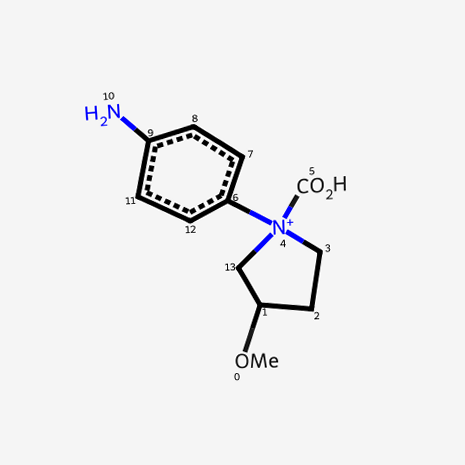 COC1CC[N+](C(=O)O)(c2ccc(N)cc2)C1